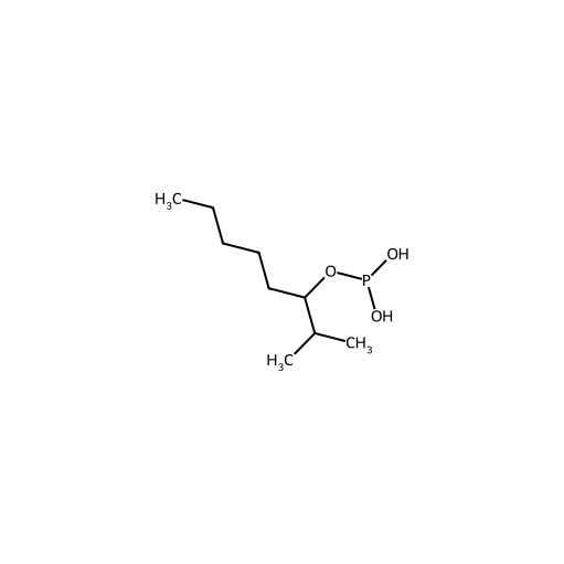 CCCCCC(OP(O)O)C(C)C